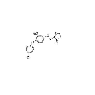 Cl.Clc1ccc(Oc2ccc(OCC3=NCCN3)cc2)cc1